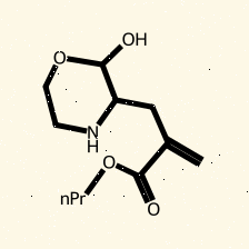 C=C(CC1NCCOC1O)C(=O)OCCC